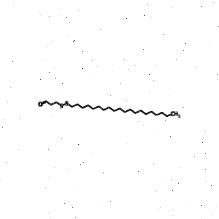 CCCCCCCCCCCCCCCCCCCCSSCCC=O